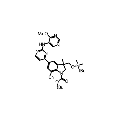 COc1ncncc1Nc1nccc(-c2cc(C#N)c3c(c2)C(C)(CO[Si](C)(C)C(C)(C)C)CN3C(=O)OC(C)(C)C)n1